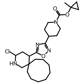 CC1(OC(=O)N2CCC(c3noc(C4CC(Cl)NCC45CCCCCCCC5)n3)CC2)CC1